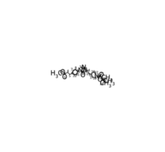 COC(=O)CCc1ccc(-n2cnn(CCC3CCN(C(=O)OC(C)(C)C)CC3)c2=O)cc1